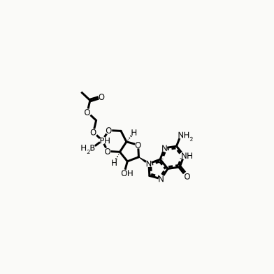 B[PH]1(OCOC(C)=O)OC[C@H]2O[C@@H](n3cnc4c(=O)[nH]c(N)nc43)C(O)[C@H]2O1